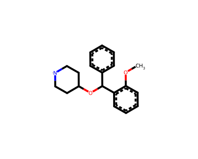 COc1ccccc1C(OC1CC[N]CC1)c1ccccc1